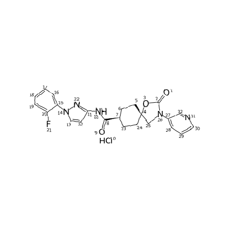 Cl.O=C1O[C@]2(CC[C@H](C(=O)Nc3ccn(-c4ccccc4F)n3)CC2)CN1c1cccnc1